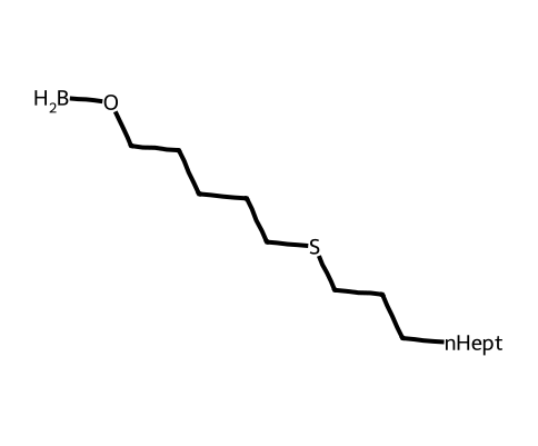 BOCCCCCSCCCCCCCCCC